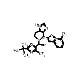 CC(C)(O)c1nc(C(F)(F)F)c(C(=O)N2CCc3[nH]cnc3[C@H]2c2cc3cccc(C(F)(F)F)n3n2)o1